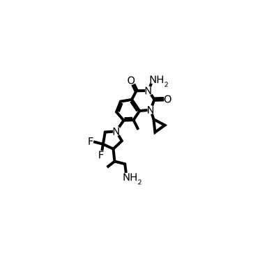 Cc1c(N2CC(C(C)CN)C(F)(F)C2)ccc2c(=O)n(N)c(=O)n(C3CC3)c12